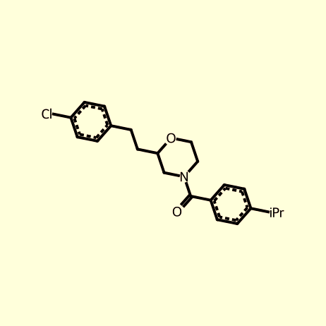 CC(C)c1ccc(C(=O)N2CCOC(CCc3ccc(Cl)cc3)C2)cc1